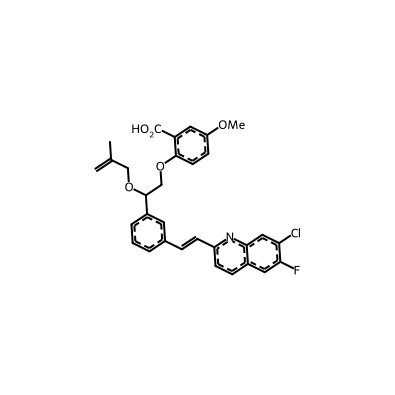 C=C(C)COC(COc1ccc(OC)cc1C(=O)O)c1cccc(/C=C/c2ccc3cc(F)c(Cl)cc3n2)c1